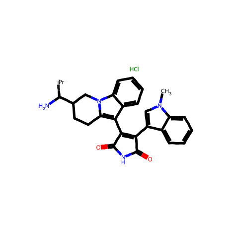 CC(C)C(N)C1CCc2c(C3=C(c4cn(C)c5ccccc45)C(=O)NC3=O)c3ccccc3n2C1.Cl